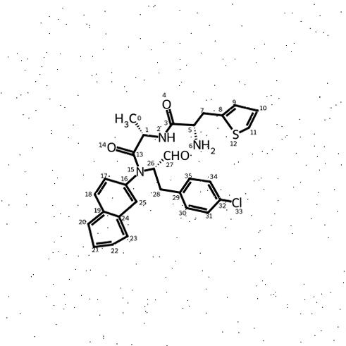 C[C@H](NC(=O)[C@@H](N)Cc1cccs1)C(=O)N(c1ccc2ccccc2c1)[C@H]([C]=O)Cc1ccc(Cl)cc1